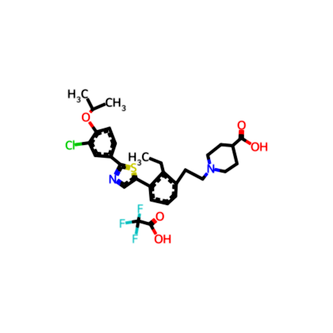 CCc1c(CCN2CCC(C(=O)O)CC2)cccc1-c1cnc(-c2ccc(OC(C)C)c(Cl)c2)s1.O=C(O)C(F)(F)F